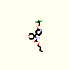 CCCCOC(=O)NC1(c2ccnc(OCC(F)(F)F)c2)CCOCC1